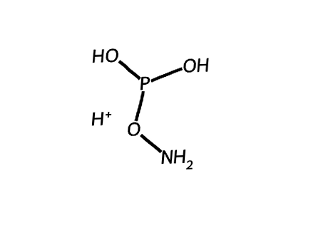 NOP(O)O.[H+]